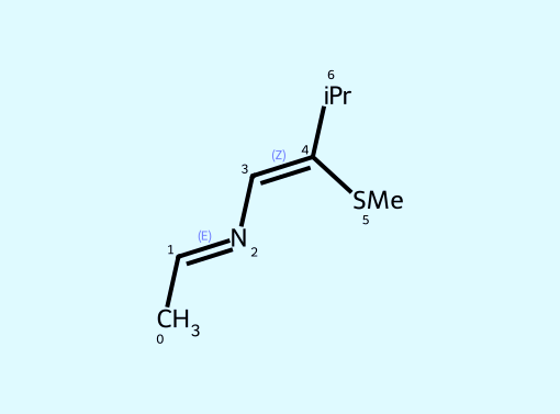 C/C=N/C=C(\SC)C(C)C